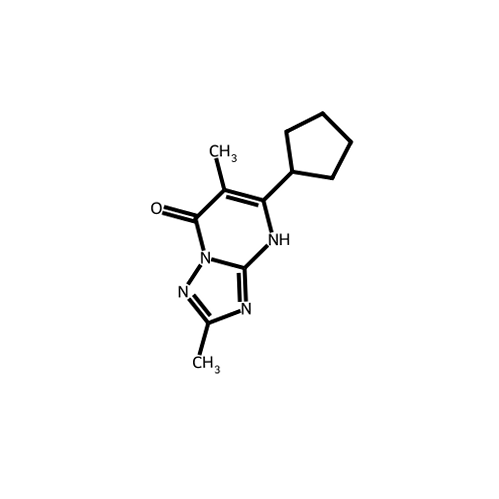 Cc1nc2[nH]c(C3CCCC3)c(C)c(=O)n2n1